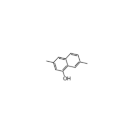 Cc1cc(O)c2cc(C)ccc2c1